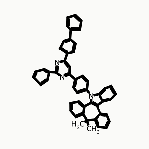 CC1(C)c2ccccc2-c2c(n(-c3ccc(-c4cc(-c5ccc(-c6ccccc6)cc5)nc(-c5ccccc5)n4)cc3)c3ccccc23)-c2ccccc21